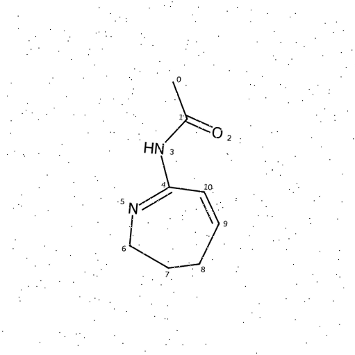 CC(=O)NC1=NCCCC=C1